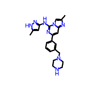 Cc1cn2c(Nc3cc(C)[nH]n3)nc(-c3cccc(CN4CCNCC4)c3)cc2n1